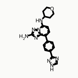 Nc1nc2c(-c3ccc(-c4nc[nH]n4)cc3)ccc(NC3CCOCC3)n2n1